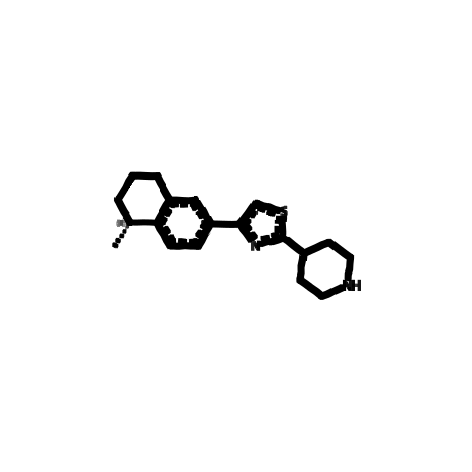 C[C@@H]1CCCc2cc(-c3csc(C4CCNCC4)n3)ccc21